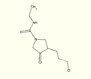 CCNC(=O)N1CC(=O)C(CCCCl)C1